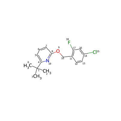 CC(C)(C)c1cccc(OCc2ccc(Cl)cc2F)n1